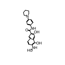 O=C(Nc1ccc(N2CCCCC2)cc1)c1cc2ccc(NO)c(O)c2cc1O